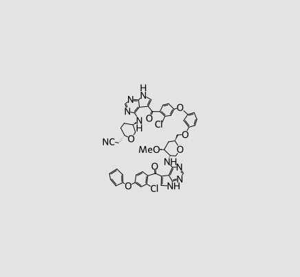 CO[C@H]1C[C@@H](COc2cccc(Oc3ccc(C(=O)c4c[nH]c5ncnc(N[C@@H]6CC[C@@H](CC#N)OC6)c45)c(Cl)c3)c2)OC[C@@H]1Nc1ncnc2[nH]cc(C(=O)c3ccc(Oc4ccccc4)cc3Cl)c12